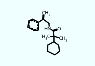 C=C(CNC(=O)C(C)(C)C1CCCCC1)c1ccccc1